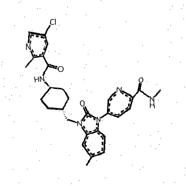 CNC(=O)c1ccc(-n2c(=O)n(C[C@H]3CC[C@H](NC(=O)c4cc(Cl)cnc4C)CC3)c3cc(C)ccc32)cn1